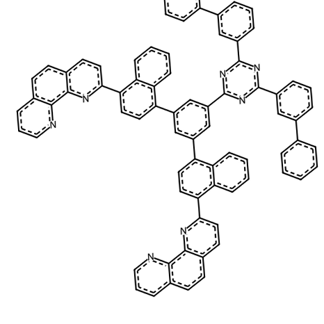 c1ccc(-c2cccc(-c3nc(-c4cccc(-c5ccccc5)c4)nc(-c4cc(-c5ccc(-c6ccc7ccc8cccnc8c7n6)c6ccccc56)cc(-c5ccc(-c6ccc7ccc8cccnc8c7n6)c6ccccc56)c4)n3)c2)cc1